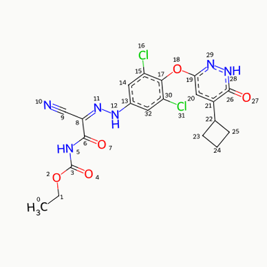 CCOC(=O)NC(=O)C(C#N)=NNc1cc(Cl)c(Oc2cc(C3CCC3)c(=O)[nH]n2)c(Cl)c1